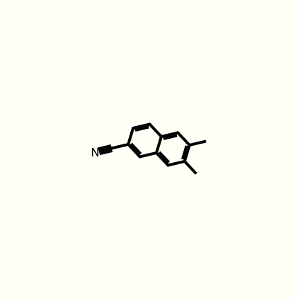 Cc1cc2ccc(C#N)cc2cc1C